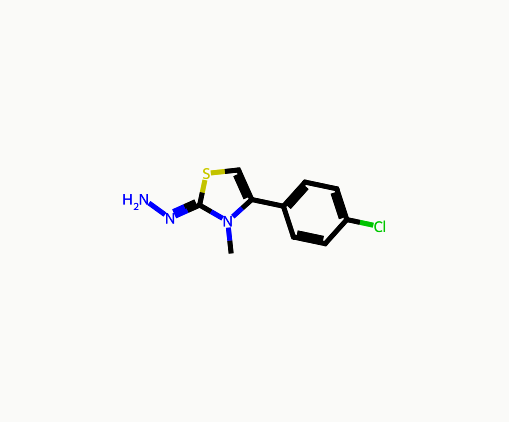 Cn1c(-c2ccc(Cl)cc2)cs/c1=N\N